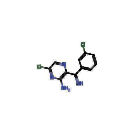 N=C(c1cccc(Cl)c1)c1ncc(Cl)nc1N